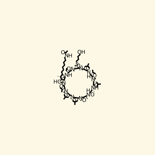 CC[C@@H]1NC(=O)[C@H]([C@H](O)[C@H](C)CCCCCCCCNC(C)=O)N(C)C(=O)[C@H](C(C)C)N(C)C(=O)[C@H](CC(C)C)N(C)C(=O)[C@H](CC(C)C)N(C)C(=O)[C@H](C)NC(=O)[C@@H](C)NC(=O)[C@@H](CC(C)C)N(C)C(=O)[C@@H](C(C)C)NC(=O)[C@H](CC(C)C)N(C)C(=O)[C@@H](CSCCCCO)N(C)C1=O